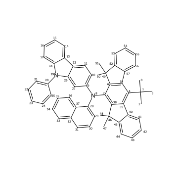 CC(C)(C)c1c2c(c(N(c3ccc4c5ccccc5n(-c5ccccc5)c4c3)c3cccc4ccccc34)c3c1-c1ccccc1C3(C)C)C(C)(C)c1ccccc1-2